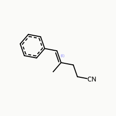 C/C(=C\c1ccccc1)CCC#N